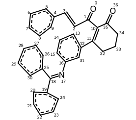 O=C(C=Cc1ccccc1)C1=C(c2cccc(N=C(c3ccccc3)c3ccccc3)c2)CCCC1=O